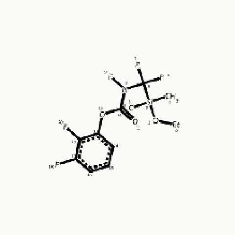 CCO[Si](C)(C)C(F)(F)N(F)C(=O)Oc1cccc(F)c1F